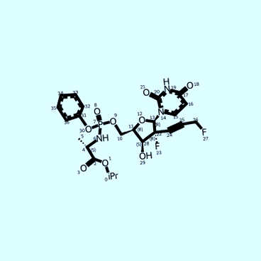 CC(C)OC(=O)[C@H](C)NP(=O)(OC[C@H]1O[C@@H](n2ccc(=O)[nH]c2=O)[C@@](F)(C#CCF)[C@H]1O)Oc1ccccc1